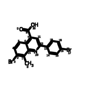 Cc1c(Br)ccc2c(C(=O)O)cc(-c3ccc(Br)cc3)nc12